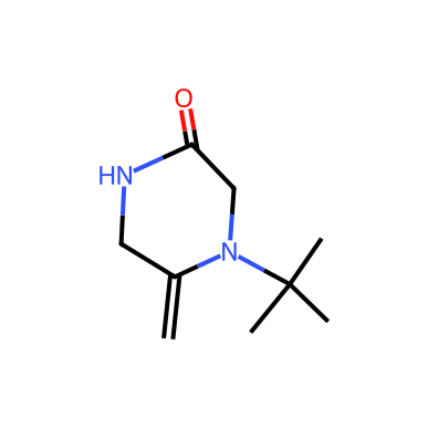 C=C1CNC(=O)CN1C(C)(C)C